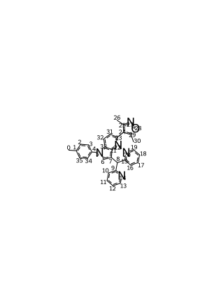 Cc1ccc(-n2cc(C(c3ccccn3)c3ccccn3)c3nc(-c4c(C)noc4C)ccc32)cc1